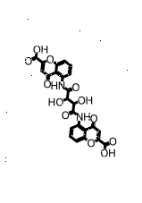 O=C(O)c1cc(=O)c2c(NC(=O)C(O)C(O)C(=O)Nc3cccc4oc(C(=O)O)cc(=O)c34)cccc2o1